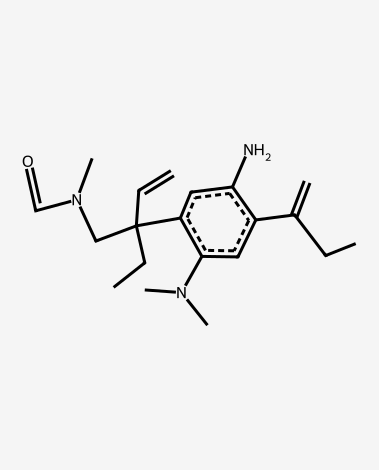 C=CC(CC)(CN(C)C=O)c1cc(N)c(C(=C)CC)cc1N(C)C